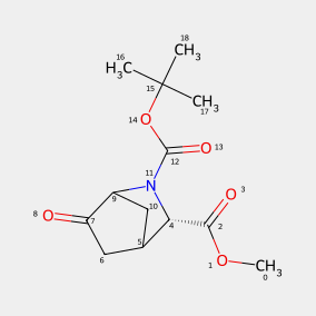 COC(=O)[C@@H]1C2CC(=O)C(C2)N1C(=O)OC(C)(C)C